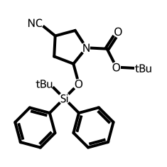 CC(C)(C)OC(=O)N1CC(C#N)CC1O[Si](c1ccccc1)(c1ccccc1)C(C)(C)C